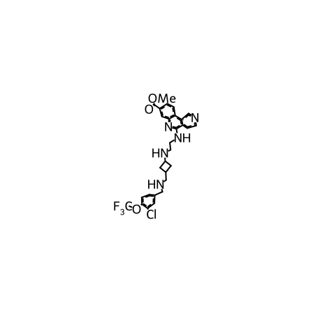 COC(=O)c1ccc2c(c1)nc(NCCNC1CC(CNCc3ccc(OC(F)(F)F)c(Cl)c3)C1)c1ccncc12